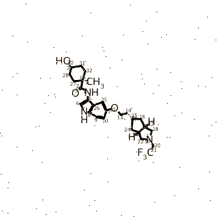 C[C@]1(C(=O)Nc2c[nH]c3ccc(OCC[C@@H]4C[C@@H]5CN(CC(F)(F)F)C[C@@H]5C4)cc23)CC[C@@H](O)CC1